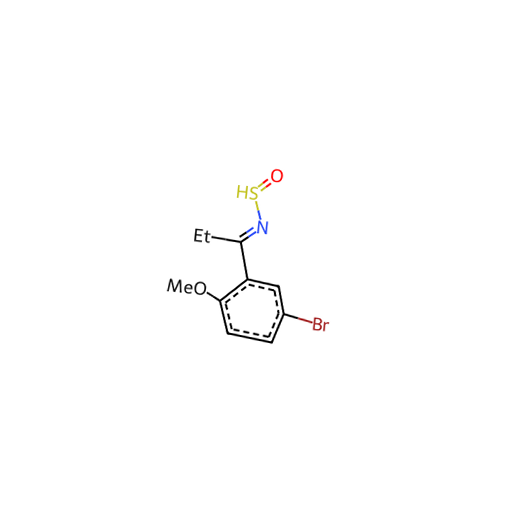 CC/C(=N\[SH]=O)c1cc(Br)ccc1OC